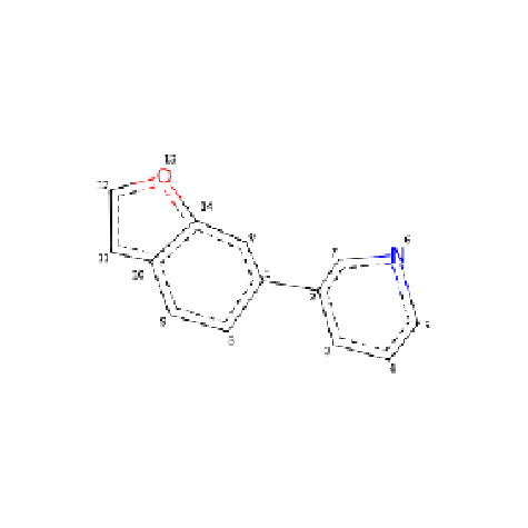 [c]1c(-c2cccnc2)ccc2ccoc12